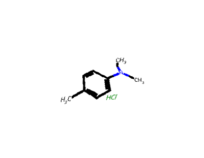 Cc1ccc(N(C)C)cc1.Cl